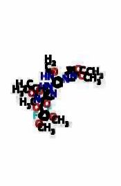 C=CC(=O)Nc1cc(N2CCN(C(=O)OC(C)(C)C)C3(CC3)C2)ccc1Nc1cc2c(N(C)C(=O)OC(C)(C)C)c(C(=O)c3c(F)c(OC)cc(OC)c3F)oc2cn1